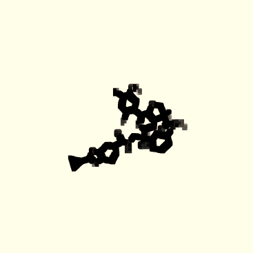 C[C@]1(C(N)=O)COc2c1cc([C@@](O)(CNC(=O)c1ccc3nc(C4CC4)oc3c1)c1cccc(F)c1)nc2-c1cc(C(F)(F)F)c(F)cc1F